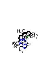 C#C/C=N\C(=C/C)NC(=C)N(CC(=C)CCC)/C(C)=C(N)/C=C\C(=C)/C(C)=C/C=C\C(=C)C(C)(C)F